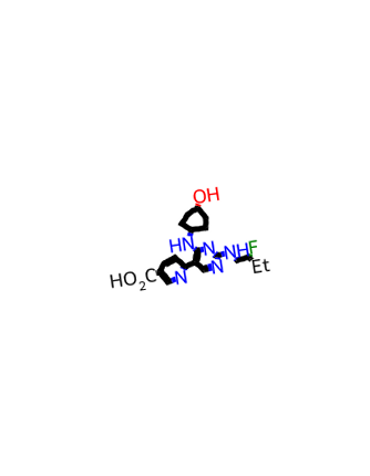 CCC(F)CNc1ncc(-c2ccc(C(=O)O)cn2)c(NC2CCC(O)CC2)n1